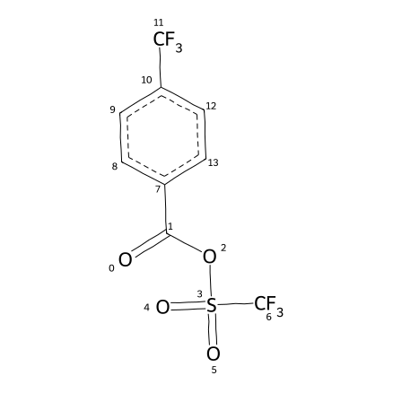 O=C(OS(=O)(=O)C(F)(F)F)c1ccc(C(F)(F)F)cc1